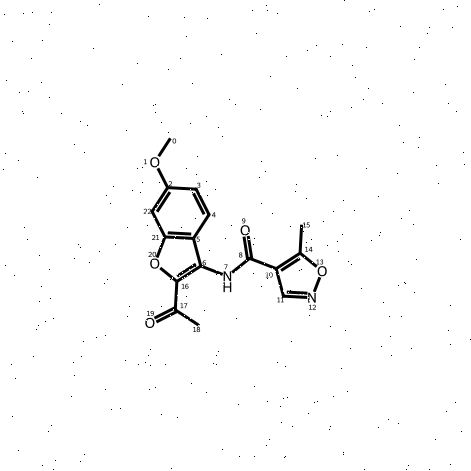 COc1ccc2c(NC(=O)c3cnoc3C)c(C(C)=O)oc2c1